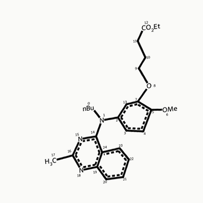 CCCCN(c1ccc(OC)c(OCCCC(=O)OCC)c1)c1nc(C)nc2ccccc12